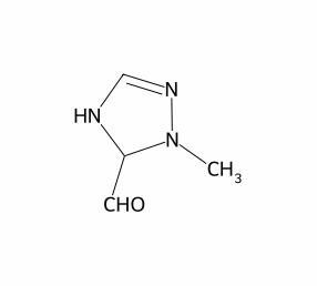 CN1N=CNC1C=O